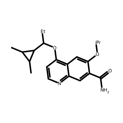 CCC(Oc1ccnc2cc(C(N)=O)c(OC(C)C)cc12)C1C(C)C1C